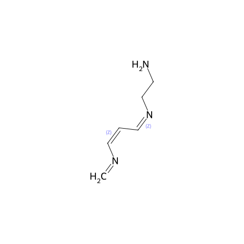 C=N/C=C\C=N/CCN